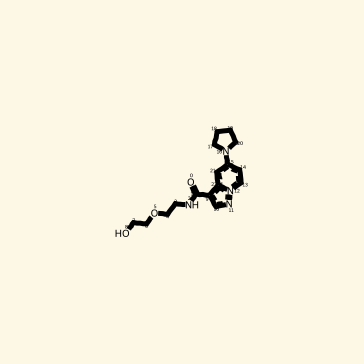 O=C(NCCOCCO)c1cnn2ccc(N3CCCC3)cc12